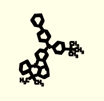 CC(C)(C)c1ccc(N(c2ccc(-c3ccccc3)cc2)c2ccc3c(c2)c2cccc4c2n3-c2ccccc2C4(C)C)cc1